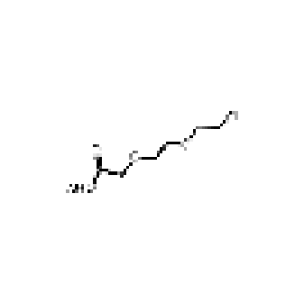 COC(=O)COCCOCCCl